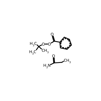 CC(C)(C)OOC(=O)c1ccccc1.CCC(N)=O